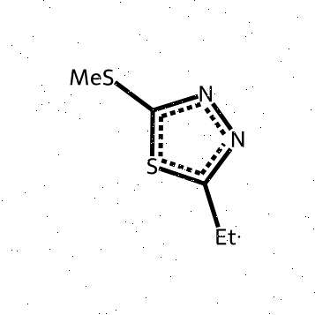 C[CH]c1nnc(SC)s1